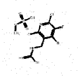 COS(=O)(=O)O.N=C(S)NCc1c(Cl)nc(Cl)c(F)c1Br